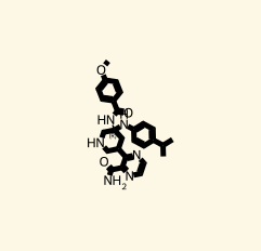 COc1ccc(C(=O)N[C@@]2(Nc3ccc(C(C)C)cc3)CNCC(c3nccnc3C(N)=O)C2)cc1